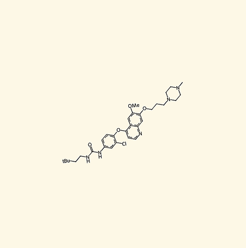 COc1cc2c(Oc3ccc(NC(=O)NCCC(C)(C)C)cc3Cl)ccnc2cc1OCCCN1CCN(C)CC1